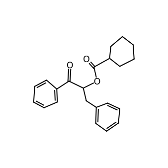 O=C(OC(Cc1ccccc1)C(=O)c1ccccc1)C1CCCCC1